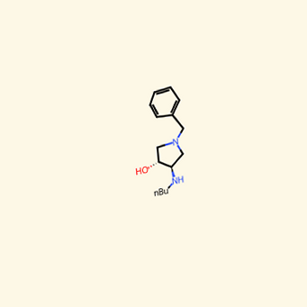 CCCCN[C@@H]1CN(Cc2ccccc2)C[C@H]1O